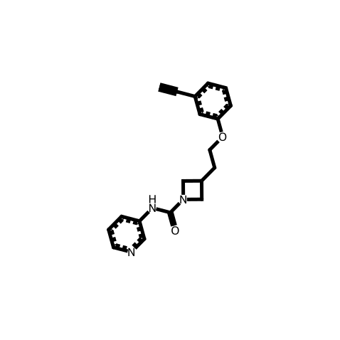 C#Cc1cccc(OCCC2CN(C(=O)Nc3cccnc3)C2)c1